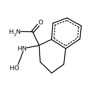 NC(=O)C1(NO)CCCc2ccccc21